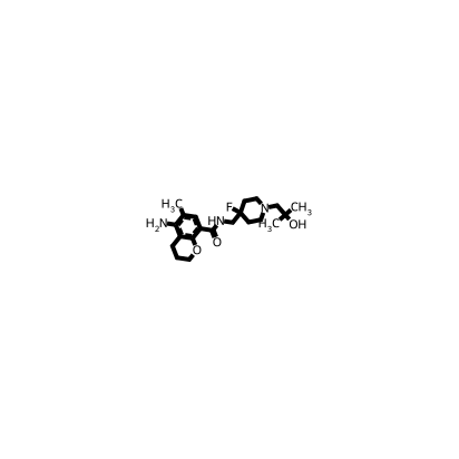 Cc1cc(C(=O)NCC2(F)CCN(CC(C)(C)O)CC2)c2c(c1N)CCCO2